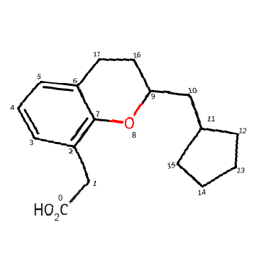 O=C(O)Cc1cccc2c1OC(CC1CCCC1)CC2